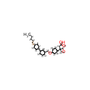 CCCCSc1ccc(-c2cccc(COc3ccc(C4(CC(=O)O)COC4)cc3)c2)cc1